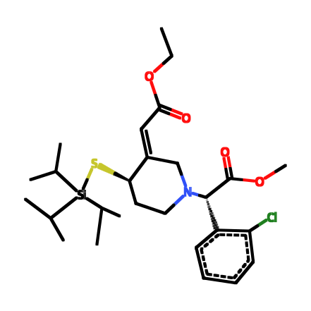 CCOC(=O)/C=C1\CN([C@H](C(=O)OC)c2ccccc2Cl)CC[C@H]1S[Si](C(C)C)(C(C)C)C(C)C